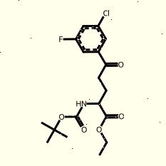 CCOC(=O)C(CCC(=O)c1cc(F)cc(Cl)c1)NC(=O)OC(C)(C)C